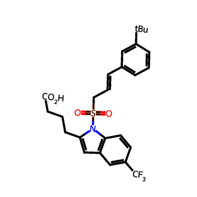 CC(C)(C)c1cccc(C=CCS(=O)(=O)n2c(CCCC(=O)O)cc3cc(C(F)(F)F)ccc32)c1